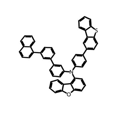 c1cc(-c2cccc(N(c3ccc(-c4ccc5sc6ccccc6c5c4)cc3)c3cccc4oc5ccccc5c34)c2)cc(-c2cccc3ccccc23)c1